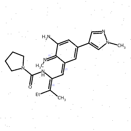 CC/C(C)=C(/C=C1/C=C(c2cnn(C)c2)C=C(N)/C1=N/C)NC(=O)N1CCCC1